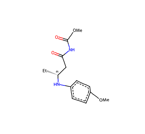 CC[C@H](CC(=O)NC(=O)OC)Nc1ccc(OC)cc1